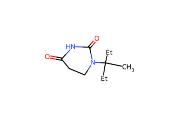 CCC(C)(CC)N1CCC(=O)NC1=O